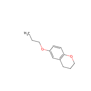 CCCOc1[c]cc2c(c1)CCCO2